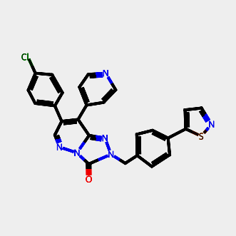 O=c1n(Cc2ccc(-c3ccns3)cc2)nc2c(-c3ccncc3)c(-c3ccc(Cl)cc3)cnn12